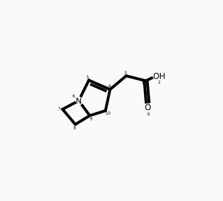 O=C(O)CC1=CN2CCC2C1